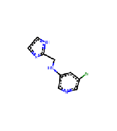 Brc1cncc(NCc2ncc[nH]2)c1